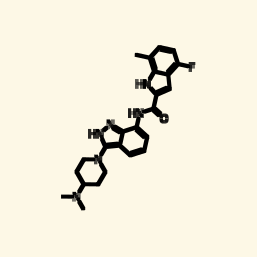 Cc1ccc(F)c2cc(C(=O)Nc3cccc4c(N5CCC(N(C)C)CC5)[nH]nc34)[nH]c12